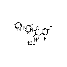 C[C@@H]1CN(c2ccccn2)C[C@H](C)N1C(=O)C1CN(C(C)(C)C)CC1c1ccc(F)cc1F